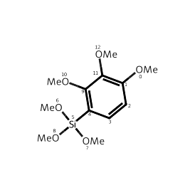 COc1ccc([Si](OC)(OC)OC)c(OC)c1OC